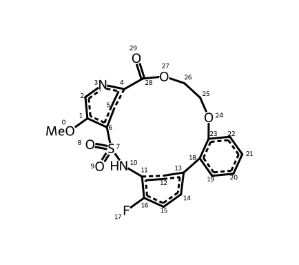 COc1cnc2cc1S(=O)(=O)Nc1cc(ccc1F)-c1ccccc1OCCOC2=O